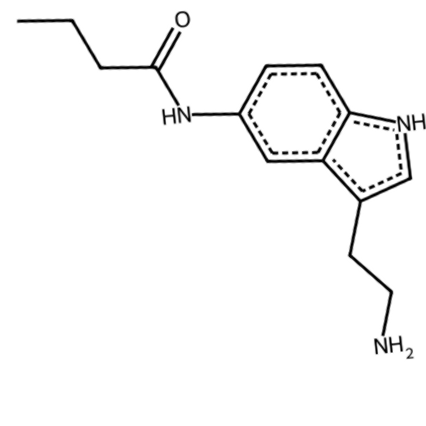 CCCC(=O)Nc1ccc2[nH]cc(CCN)c2c1